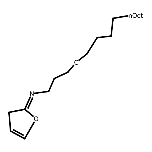 CCCCCCCCCCCCCCCCN=C1CC=CO1